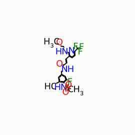 C#Cc1cc(CNC(=O)C=Cc2ccc(C(F)(F)F)nc2NCCOC)cc(F)c1NS(C)(=O)=O